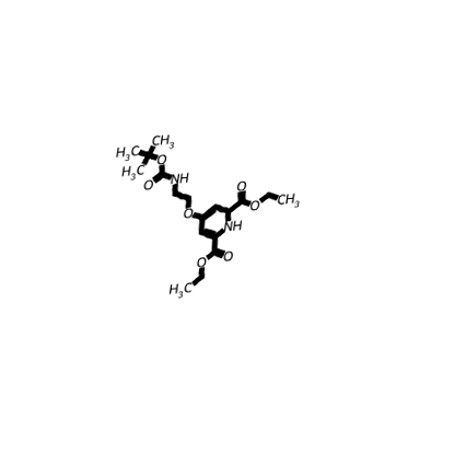 CCOC(=O)C1=CC(OCCNC(=O)OC(C)(C)C)=CC(C(=O)OCC)N1